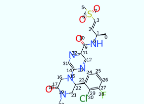 C[C@H](/C=C/S(C)(=O)=O)NC(=O)c1cnc(N2CC(=O)N(C)C[C@@H]2c2cccc(F)c2Cl)cn1